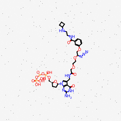 [N-]=[N+]=NC(COc1cccc(C(=O)NCCNC2CCC2)c1)OCCOCC(=O)NCc1cn([C@H]2CC[C@@H](COP(=O)(O)OP(=O)(O)OP(=O)(O)O)O2)c2nc(N)[nH]c(=O)c12